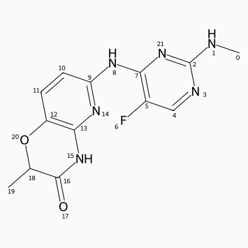 CNc1ncc(F)c(Nc2ccc3c(n2)NC(=O)C(C)O3)n1